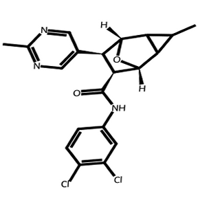 Cc1ncc([C@@H]2[C@H](C(=O)Nc3ccc(Cl)c(Cl)c3)[C@@H]3O[C@H]2C2C(C)C23)cn1